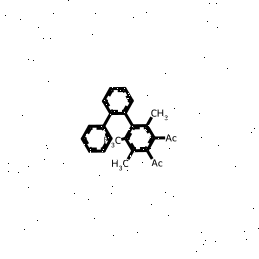 CC(=O)c1c(C)c(C)c(-c2ccccc2-c2ccccc2)c(C)c1C(C)=O